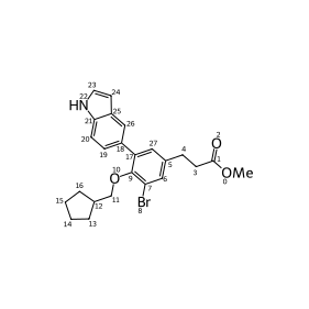 COC(=O)CCc1cc(Br)c(OCC2CCCC2)c(-c2ccc3[nH]ccc3c2)c1